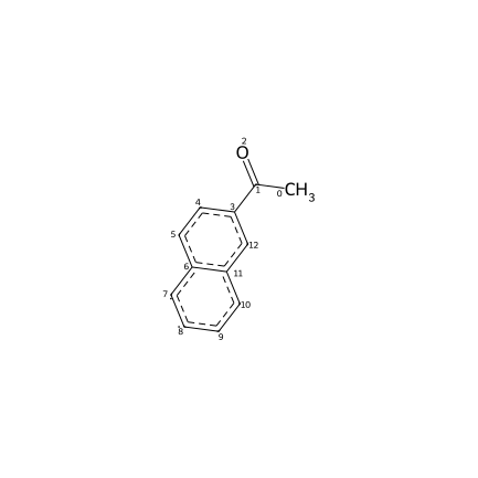 CC(=O)c1ccc2[c][c]ccc2c1